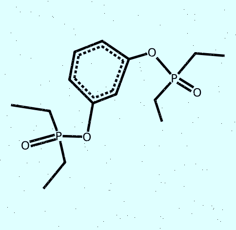 CCP(=O)(CC)Oc1cccc(OP(=O)(CC)CC)c1